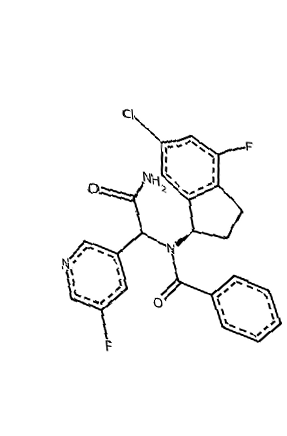 NC(=O)C(c1cncc(F)c1)N(C(=O)c1ccccc1)[C@@H]1CCc2c(F)cc(Cl)cc21